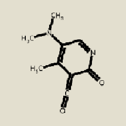 CC1=C(N(C)C)C=NC(=O)C1=C=O